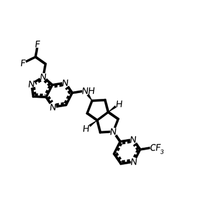 FC(F)Cn1ncc2ncc(N[C@H]3C[C@@H]4CN(c5ccnc(C(F)(F)F)n5)C[C@@H]4C3)nc21